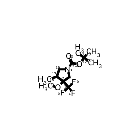 COC1(C(F)(F)F)CN(C(=O)OC(C)(C)C)CC1C